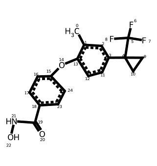 Cc1cc(C2(C(F)(F)F)CC2)ccc1Oc1ccc(C(=O)NO)cc1